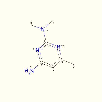 Cc1cc(N)nc(N(C)C)n1